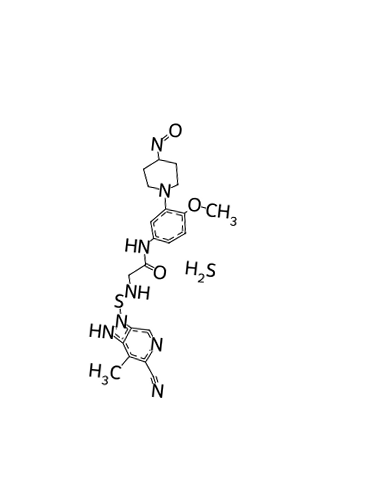 COc1ccc(NC(=O)CNSn2[nH]c3c(C)c(C#N)ncc32)cc1N1CCC(N=O)CC1.S